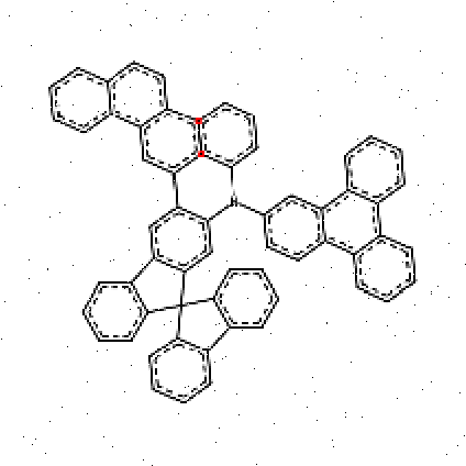 c1ccc(N(c2ccc3c4ccccc4c4ccccc4c3c2)c2cc3c(cc2-c2ccc4ccc5ccccc5c4c2)-c2ccccc2C32c3ccccc3-c3ccccc32)cc1